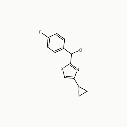 Fc1ccc(C(Cl)c2nc(C3CC3)cs2)cc1